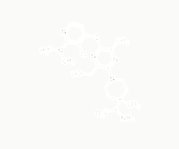 Cc1nc(N2CCC(C)(C(C)N)CC2)c(CO)nc1Sc1ccnc(N(C)C)c1Cl